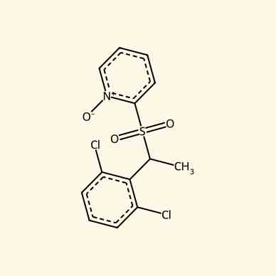 CC(c1c(Cl)cccc1Cl)S(=O)(=O)c1cccc[n+]1[O-]